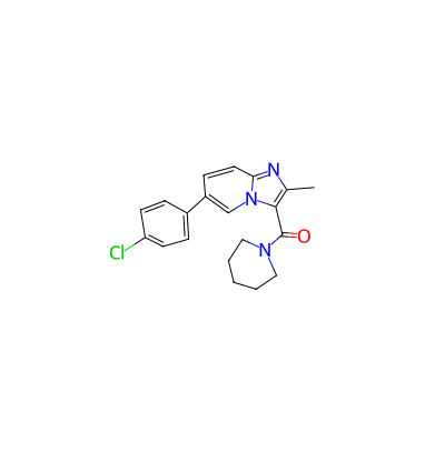 Cc1nc2ccc(-c3ccc(Cl)cc3)cn2c1C(=O)N1CCCCC1